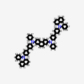 c1ccc(N(c2ccc(-c3ccc(N(c4ccccc4)c4cccc5ccccc45)cc3)cc2)c2ccc3c(ccc4cc(N(c5ccccc5)c5ccc(-c6ccc(N(c7ccccc7)c7cccc8ccccc78)cc6)cc5)ccc43)c2)cc1